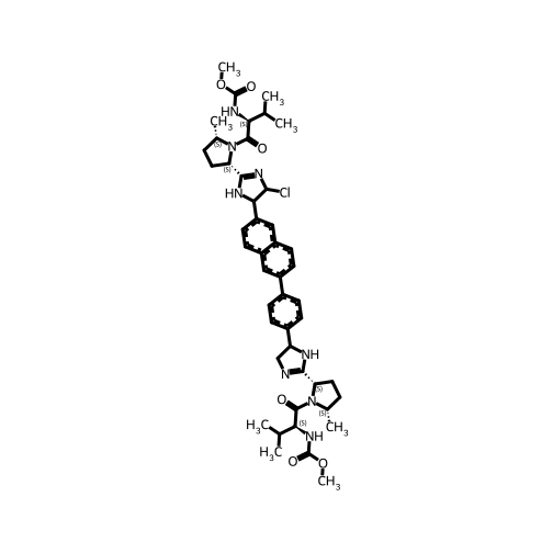 COC(=O)N[C@H](C(=O)N1[C@@H](C)CC[C@H]1C1=NCC(c2ccc(-c3ccc4cc(C5NC([C@@H]6CC[C@H](C)N6C(=O)[C@@H](NC(=O)OC)C(C)C)=NC5Cl)ccc4c3)cc2)N1)C(C)C